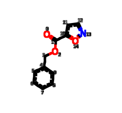 O=C(OCc1ccccc1)c1ccno1